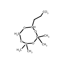 C[Si]1(C)O[SiH2]O[SiH](CCC(Cl)(Cl)Cl)O[Si](C)(C)O1